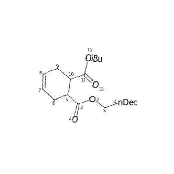 CCCCCCCCCCCOC(=O)C1CC=CCC1C(=O)OCC(C)C